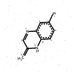 C=C1C=Nc2cc(C(C)C)ccc2N1